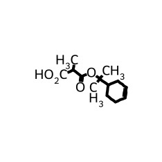 CC(C(=O)O)C(=O)OC(C)(C)C1CC=CCC1